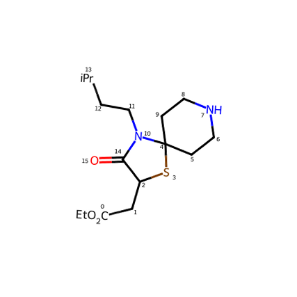 CCOC(=O)CC1SC2(CCNCC2)N(CCC(C)C)C1=O